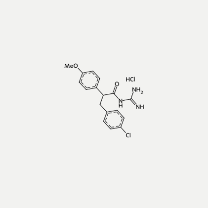 COc1ccc(C(Cc2ccc(Cl)cc2)C(=O)NC(=N)N)cc1.Cl